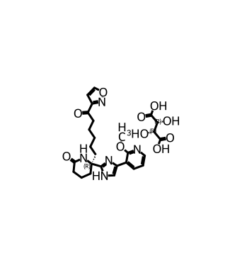 COc1ncccc1-c1c[nH]c([C@@]2(CCCCCC(=O)c3ccon3)CCCC(=O)N2)n1.O=C(O)[C@H](O)[C@@H](O)C(=O)O